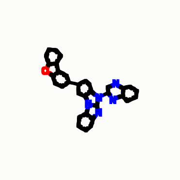 c1ccc2nc(-n3c4ccc(-c5ccc6oc7ccccc7c6c5)cc4n4c5ccccc5nc34)cnc2c1